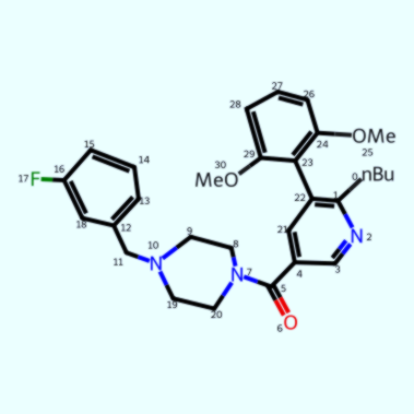 CCCCc1ncc(C(=O)N2CCN(Cc3cccc(F)c3)CC2)cc1-c1c(OC)cccc1OC